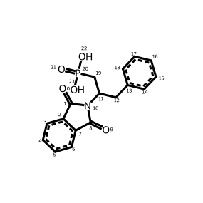 O=C1c2ccccc2C(=O)N1C(Cc1ccccc1)CP(=O)(O)O